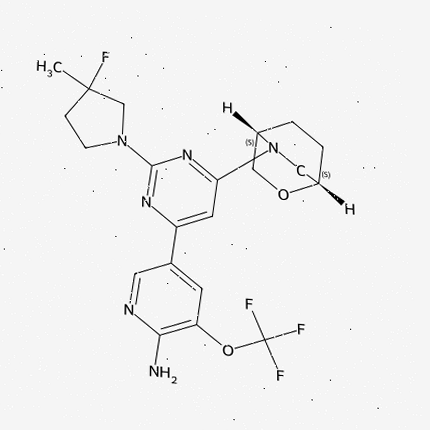 CC1(F)CCN(c2nc(-c3cnc(N)c(OC(F)(F)F)c3)cc(N3C[C@@H]4CC[C@H]3CO4)n2)C1